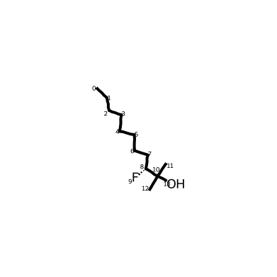 CCCCCCCC[C@@H](F)C(C)(C)O